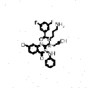 C#CC[C@H](c1nc2cc(Cl)ccc2c(=O)n1Nc1ccccc1)N(CCCN)C(=O)c1cc(F)cc(F)c1